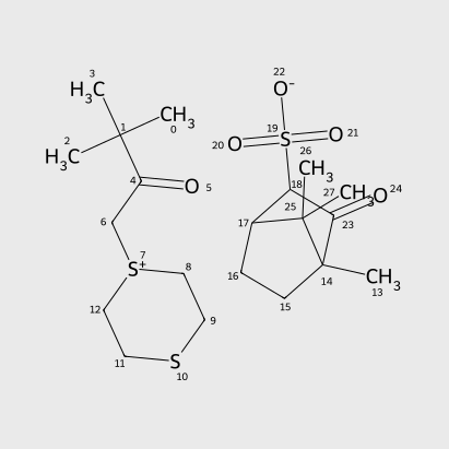 CC(C)(C)C(=O)C[S+]1CCSCC1.CC12CCC(C(S(=O)(=O)[O-])C1=O)C2(C)C